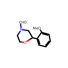 COc1ccccc1C1CN(C=O)CCO1